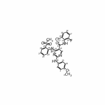 COc1ccc(Nc2ncc(C(=O)Nc3c(F)cccc3Cl)c(Nc3ccccc3S(C)(=O)=O)n2)cc1